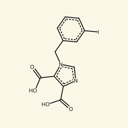 O=C(O)c1ncn(Cc2cccc(I)c2)c1C(=O)O